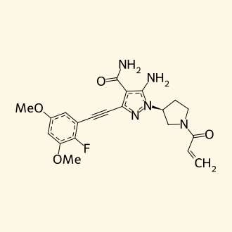 C=CC(=O)N1CC[C@H](n2nc(C#Cc3cc(OC)cc(OC)c3F)c(C(N)=O)c2N)C1